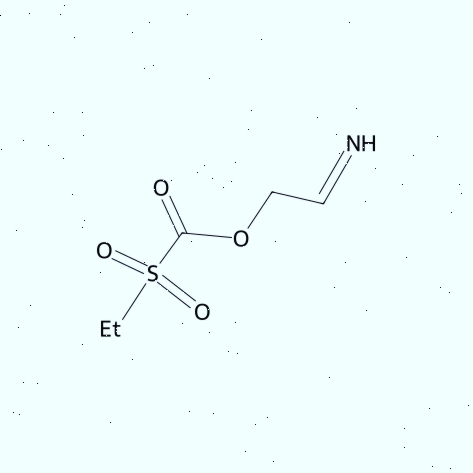 CCS(=O)(=O)C(=O)OCC=N